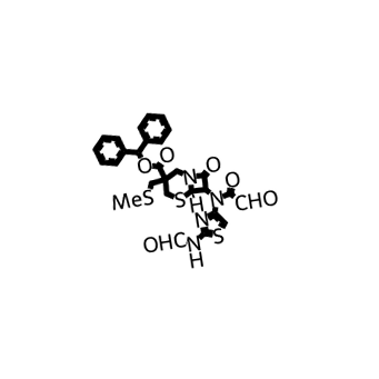 CSCC1(C(=O)OC(c2ccccc2)c2ccccc2)CS[C@@H]2C(N(C(=O)C=O)c3csc(NC=O)n3)C(=O)N2C1